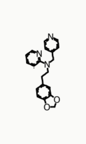 [c]1cccnc1N(CCc1ccc2c(c1)OCO2)Cc1ccncc1